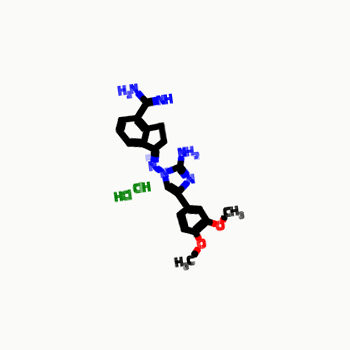 COc1ccc(-c2cn(/N=C3\CCc4c(C(=N)N)cccc43)c(N)n2)cc1OC.Cl.Cl